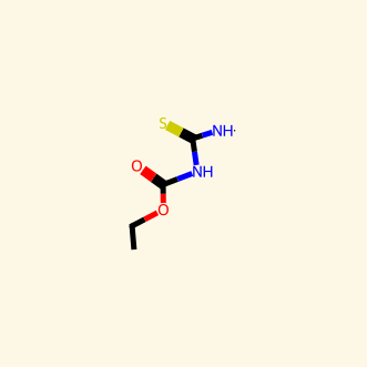 CCOC(=O)NC([NH])=S